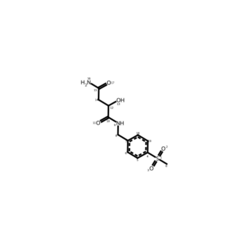 CS(=O)(=O)c1ccc(CNC(=O)C(O)CC(N)=O)cc1